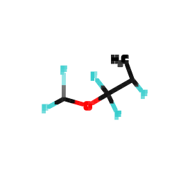 CC(F)C(F)(F)OC(F)F